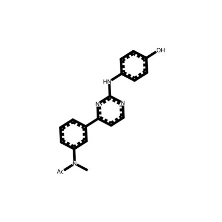 CC(=O)N(C)c1cccc(-c2ccnc(Nc3ccc(O)cc3)n2)c1